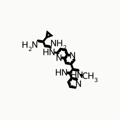 CN/C=C(\C(=N)c1cccnc1)c1cnc2ccc(N/C(N)=C/C(=C\N)C3CC3)nc2c1